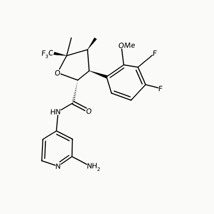 COc1c([C@H]2[C@H](C(=O)Nc3ccnc(N)c3)O[C@@](C)(C(F)(F)F)[C@H]2C)ccc(F)c1F